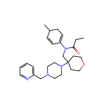 CCC(=O)N(CC1(N2CCN(Cc3ccccn3)CC2)CCOCC1)C1=CCC(C)C=C1